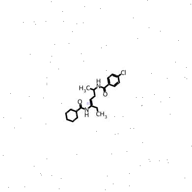 CC/C(=C\CC(C)NC(=O)c1ccc(Cl)cc1)NC(=O)C1CCCCC1